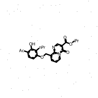 CCCc1c(OCc2cccn3c(=O)c(C(=O)OC(C)C)cnc23)ccc(C(C)=O)c1O